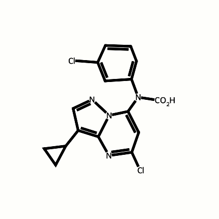 O=C(O)N(c1cccc(Cl)c1)c1cc(Cl)nc2c(C3CC3)cnn12